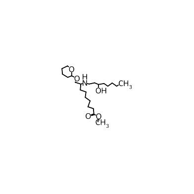 CCCCCC(O)CCNC(CCCCCCC(=O)OC)COC1CCCCO1